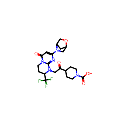 O=C(CN1c2nc(N3CC4CC3CO4)cc(=O)n2CCC1C(F)(F)F)C1CCN(C(=O)O)CC1